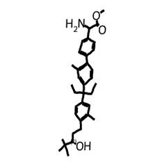 CCC(CC)(c1ccc(CC[C@@H](O)C(C)(C)C)c(C)c1)c1ccc(-c2ccc(C(N)C(=O)OC)cc2)c(C)c1